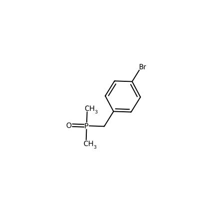 CP(C)(=O)Cc1ccc(Br)cc1